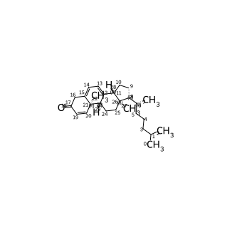 CC(C)CCC[C@@H](C)[C@H]1CC[C@H]2C3=CC=C4CC(=O)C=C[C@]4(C)[C@H]3CC[C@]12C